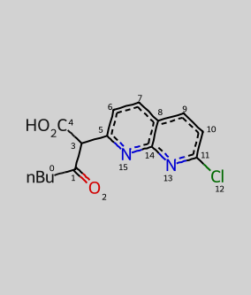 CCCCC(=O)C(C(=O)O)c1ccc2ccc(Cl)nc2n1